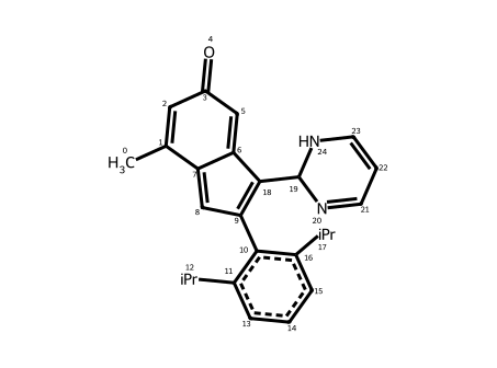 CC1=CC(=O)C=C2C1=CC(c1c(C(C)C)cccc1C(C)C)=C2C1N=CC=CN1